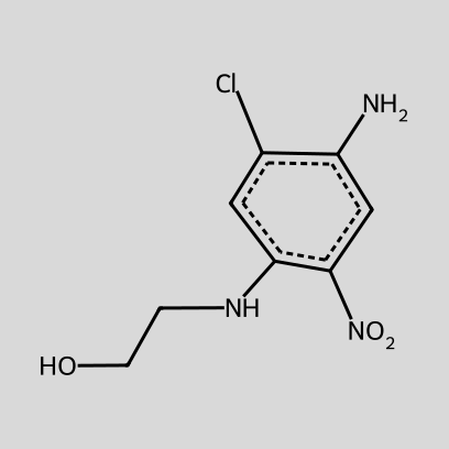 Nc1cc([N+](=O)[O-])c(NCCO)cc1Cl